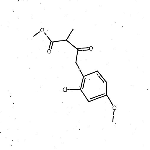 COC(=O)C(C)C(=O)Cc1ccc(OC)cc1Cl